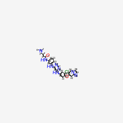 CN(C)C/C=C/C(=O)Nc1cccc(Nc2cc(Nc3ccc(Oc4ccn5ccnc5c4)c(Cl)c3)ncn2)c1